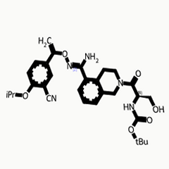 C=C(O/N=C(\N)c1cccc2c1CCN(C(=O)[C@@H](CO)NC(=O)OC(C)(C)C)C2)c1ccc(OC(C)C)c(C#N)c1